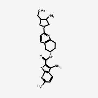 COCC1CN(c2ccc3c(n2)CC[C@H](NC(=O)c2sc4nc(C)ccc4c2N)C3)CC1N